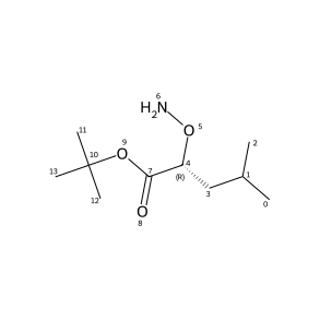 CC(C)C[C@@H](ON)C(=O)OC(C)(C)C